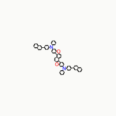 c1ccc(N(c2ccc(-c3ccc4ccccc4c3)cc2)c2ccc3c(c2)oc2ccc4c(ccc5oc6cc(N(c7ccccc7)c7ccc(-c8ccc9ccccc9c8)cc7)ccc6c54)c23)cc1